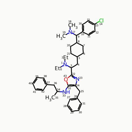 CCN(CC)C(CC1CCC(C(c2ccc(Cl)cc2)N(C)C)CC1)c1nc(Cc2ccccc2)c(NC(C)Cc2ccccc2)o1